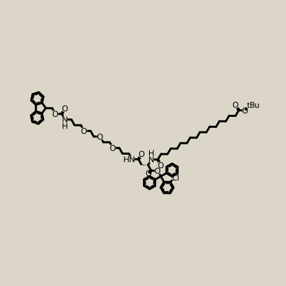 CC(C)(C)OC(=O)CCCCCCCCCCCCCCCCC(=O)N[C@@H](CC(=O)NCCCOCCOCCOCCCNC(=O)OCC1c2ccccc2-c2ccccc21)C(=O)OC(c1ccccc1)(c1ccccc1)c1ccccc1Cl